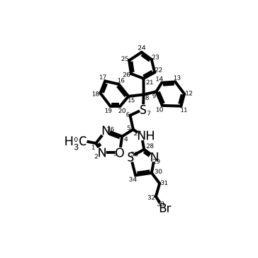 Cc1noc(C(CSC(c2ccccc2)(c2ccccc2)c2ccccc2)Nc2nc(CCBr)cs2)n1